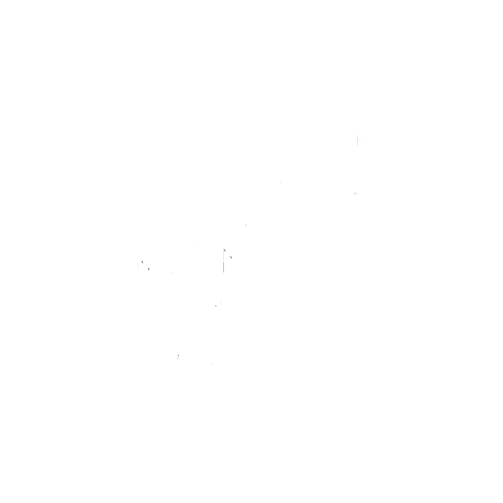 O=NC(CNCCc1ccc(F)cc1)c1ccccc1